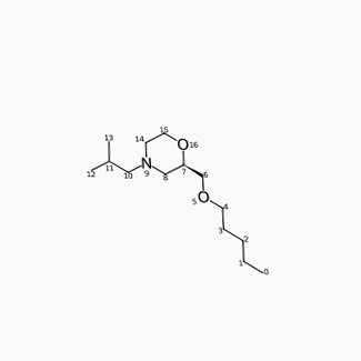 CCCCCOC[C@H]1CN(CC(C)C)CCO1